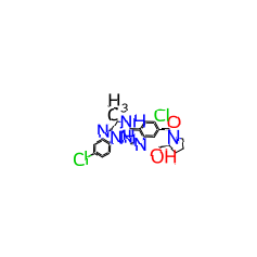 CC(Nc1ncnc2cc(C(=O)N3CCC[C@H]3CO)c(Cl)cc12)c1nc2cc(Cl)ccc2[nH]1